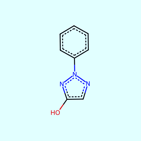 Oc1cnn(-c2ccccc2)n1